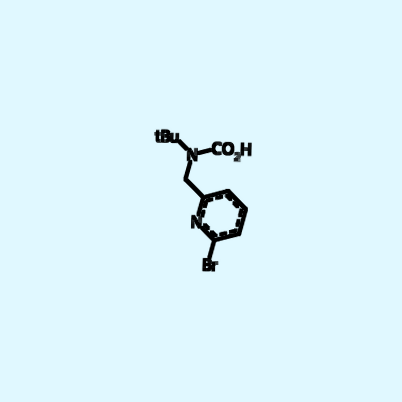 CC(C)(C)N(Cc1cccc(Br)n1)C(=O)O